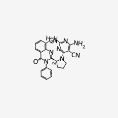 N#Cc1c(N)nc(N)nc1N1CCC[C@H]1c1nc2c(C#N)cccc2c(=O)n1-c1ccccc1